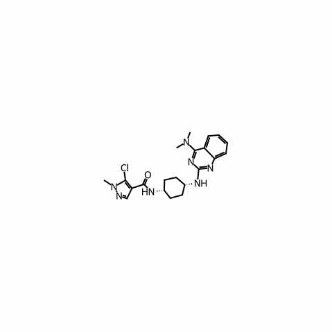 CN(C)c1nc(N[C@H]2CC[C@@H](NC(=O)c3cnn(C)c3Cl)CC2)nc2ccccc12